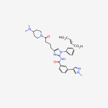 CN(C)C1CCN(C(=O)CCCc2cn(-c3ccccc3)c(NC(=O)c3cccc(-c4cnn(C)c4)c3)n2)CC1.O=C(O)/C=C/C(=O)O